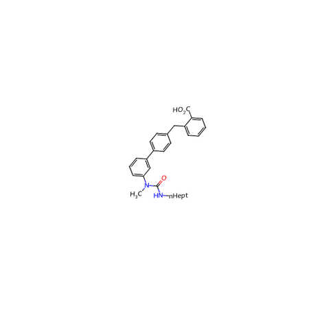 CCCCCCCNC(=O)N(C)c1cccc(-c2ccc(Cc3ccccc3C(=O)O)cc2)c1